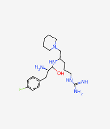 N=C(N)NCCCC(CN1CCCCC1)NC(O)[C@H](N)Cc1ccc(F)cc1